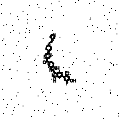 CCc1cc(O)c(F)cc1-c1ccc2c(-c3nc4c([nH]3)CCN(C(=O)c3cnc(N5CCN(CCn6ccnc6)CC5)cn3)C4)n[nH]c2c1